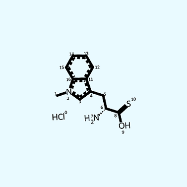 Cl.Cn1cc(C[C@@H](N)C(O)=S)c2ccccc21